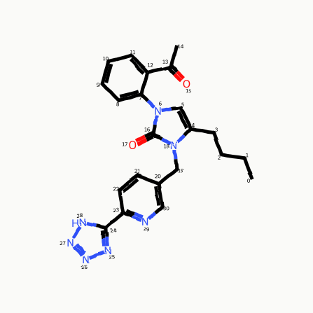 CCCCc1cn(-c2ccccc2C(C)=O)c(=O)n1Cc1ccc(-c2nnn[nH]2)nc1